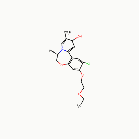 CC(C)[C@@H]1COc2cc(OCCOCC(F)(F)F)c(Cl)cc2C2=CC(O)C(C(=O)O)=CN21